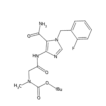 CN(CC(=O)Nc1ncn(Cc2ccccc2F)c1C(N)=O)C(=O)OC(C)(C)C